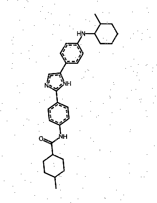 CC1CCC(C(=O)Nc2ccc(-c3ncc(-c4ccc(NC5CCCCC5C)cc4)[nH]3)cc2)CC1